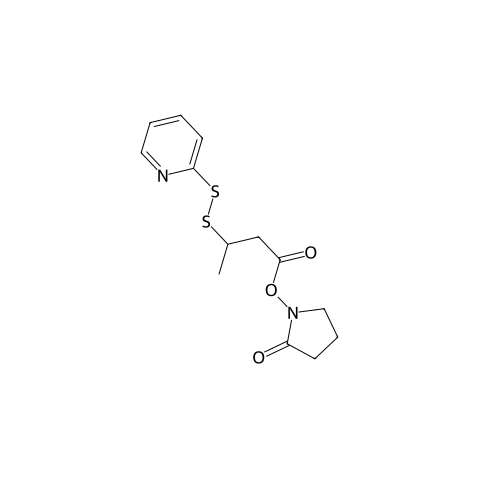 CC(CC(=O)ON1CCCC1=O)SSc1ccccn1